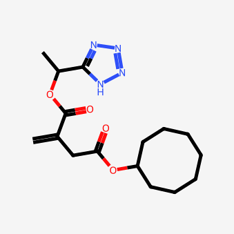 C=C(CC(=O)OC1CCCCCCC1)C(=O)OC(C)c1nnn[nH]1